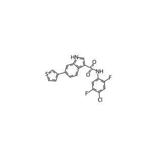 O=S(=O)(Nc1cc(F)c(Cl)cc1F)c1c[nH]c2cc(-c3ccsc3)ccc12